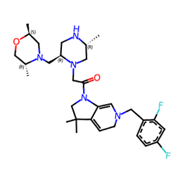 C[C@@H]1CN(CC(=O)N2CC(C)(C)C3=CCN(Cc4ccc(F)cc4F)C=C32)[C@@H](CN2C[C@H](C)OC[C@H]2C)CN1